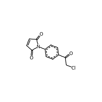 O=C(CCl)c1ccc(N2C(=O)C=CC2=O)cc1